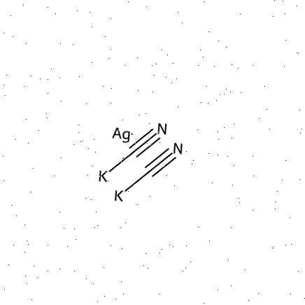 N#[C][K].N#[C][K].[Ag]